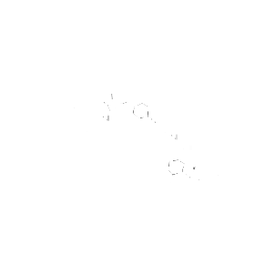 CCOC(=O)CC[C@H](NC1=NC(=O)/C(=C/c2ccc(N3CCC(NC[C@H](O)c4ccc(O)c(NS(C)(=O)=O)c4)CC3)cc2)S1)C(=O)OCC